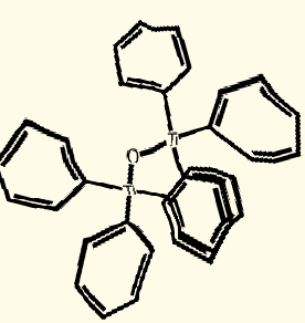 c1cc[c]([Ti]([O][Ti]([c]2ccccc2)([c]2ccccc2)[c]2ccccc2)([c]2ccccc2)[c]2ccccc2)cc1